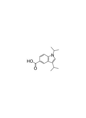 CC(C)c1cn(C(C)C)c2ccc(C(=O)O)cc12